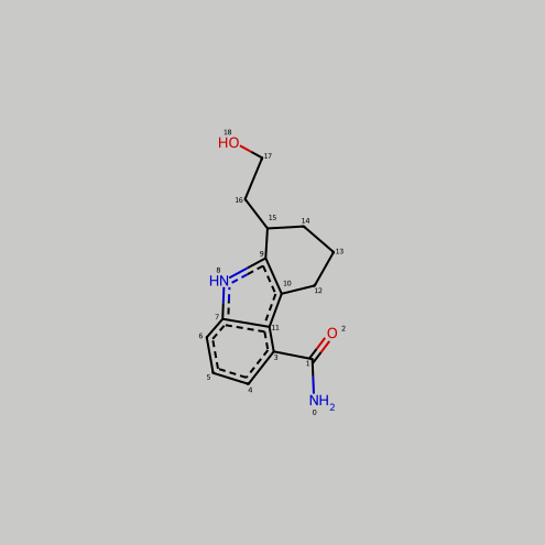 NC(=O)c1cccc2[nH]c3c(c12)CCCC3CCO